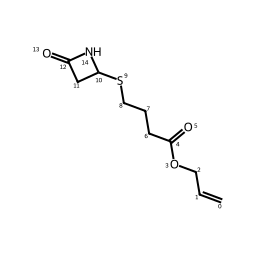 C=CCOC(=O)CCCSC1CC(=O)N1